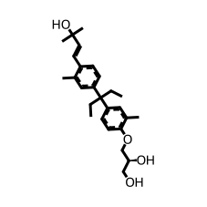 CCC(CC)(c1ccc(/C=C/C(C)(C)O)c(C)c1)c1ccc(OC[C@@H](O)CO)c(C)c1